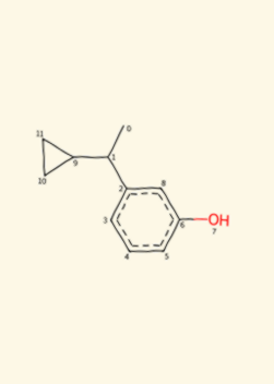 CC(c1cccc(O)c1)C1CC1